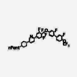 CCCCCC1CCC(c2ccc(-c3cc(F)c(C(F)(F)Oc4ccc(-c5ccc(OC(F)(F)F)c(F)c5)c(F)c4)c(F)c3)nc2)CC1